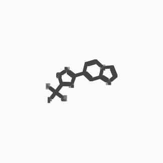 FC(F)(Cl)c1nc(-c2ccn3ccnc3c2)no1